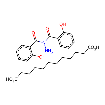 NN(C(=O)c1ccccc1O)C(=O)c1ccccc1O.O=C(O)CCCCCCCCCCC(=O)O